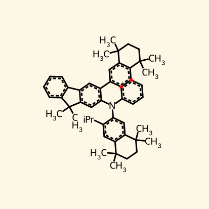 CC(C)c1cc2c(cc1N(c1ccccc1)c1cc3c(cc1-c1ccc4c(c1)C(C)(C)CCC4(C)C)-c1ccccc1C3(C)C)C(C)(C)CCC2(C)C